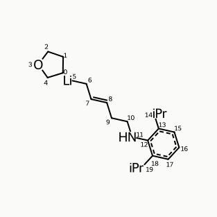 C1CCOC1.[Li][CH2]C=CCCNc1c(C(C)C)cccc1C(C)C